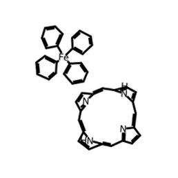 C1=Cc2cc3ccc(cc4nc(cc5ccc(cc1n2)[nH]5)C=C4)[nH]3.c1cc[c]([Fe]([c]2ccccc2)([c]2ccccc2)[c]2ccccc2)cc1